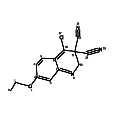 CCOc1ccc2c(c1)=NCC(C#N)(C#N)C=2Cl